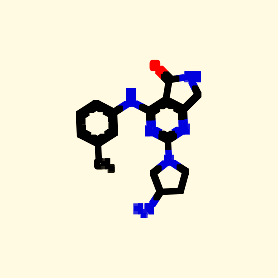 Cc1cccc(Nc2nc(N3CCC(N)C3)nc3c2C(=O)NC3)c1